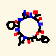 C/C1=C(\CC2CC3CCC2C3)OC(=O)CNC(=O)C(C(C)O)NC(=O)C(CN)NC(=O)C(C2CCCCC2)NC(=O)C(CC(C)C)N(C)C1=O